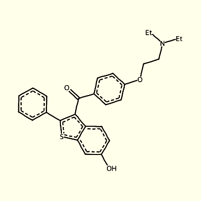 CCN(CC)CCOc1ccc(C(=O)c2c(-c3ccccc3)sc3cc(O)ccc23)cc1